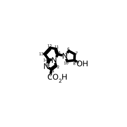 O=C(O)c1cn2c(N3CCC(O)C3)cccc2n1